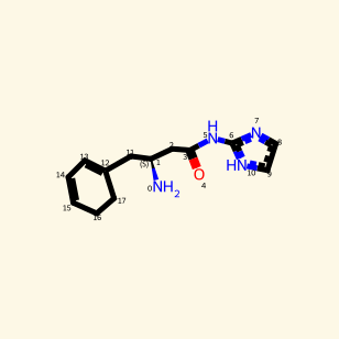 N[C@H](CC(=O)Nc1ncc[nH]1)CC1=CC=CCC1